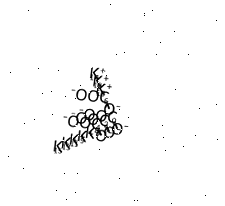 O=C([O-])[O-].O=C([O-])[O-].O=C([O-])[O-].O=C([O-])[O-].[K+].[K+].[K+].[K+].[K+].[K+].[K+].[K+]